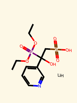 CCOP(=O)(OCC)C(O)(CS(=O)(=O)O)c1cccnc1.[LiH]